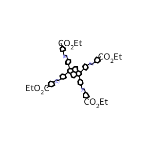 CCOC(=O)c1ccc(/C=C/c2ccc(-c3cc(-c4ccc(/C=C/c5ccc(C(=O)OCC)cc5)cc4)c4ccc5c(-c6ccc(/C=C/c7ccc(C(=O)OCC)cc7)cc6)cc(-c6ccc(/C=C/c7ccc(C(=O)OCC)cc7)cc6)c6ccc3c4c65)cc2)cc1